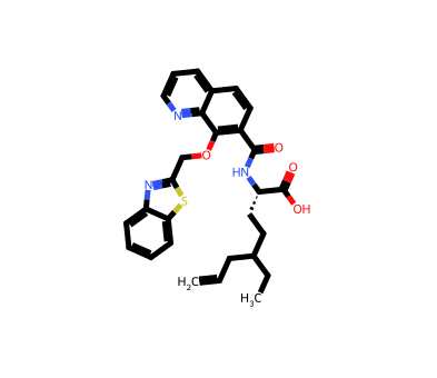 C=CCC(CC)CC[C@H](NC(=O)c1ccc2cccnc2c1OCc1nc2ccccc2s1)C(=O)O